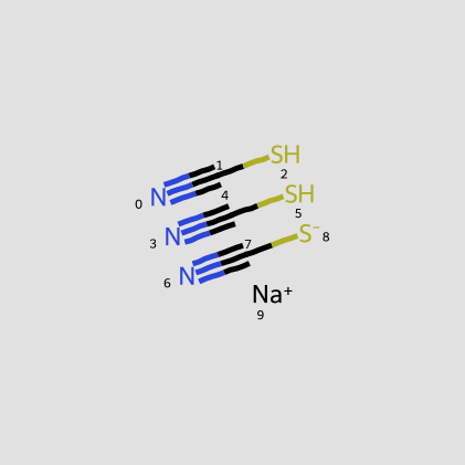 N#CS.N#CS.N#C[S-].[Na+]